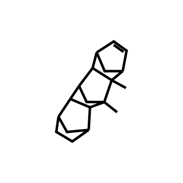 CC12CC(C3C4CCC(C4)C31)C1C3C=CC(C3)C12C